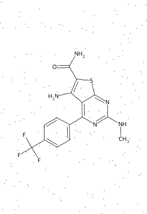 CNc1nc(-c2ccc(C(F)(F)F)cc2)c2c(N)c(C(N)=O)sc2n1